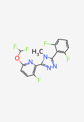 Cn1c(-c2nc(OC(F)F)ccc2F)nnc1-c1c(F)cccc1F